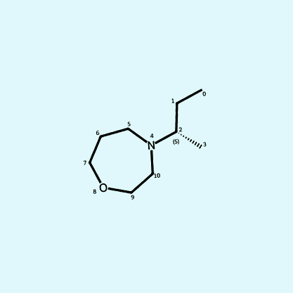 CC[C@H](C)N1CCCOCC1